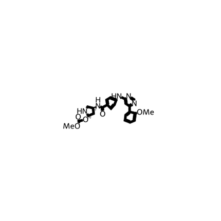 COC(=O)O[C@H]1C[C@H](NC(=O)c2ccc(Nc3cc(-c4ccccc4OC)ncn3)cc2)CN1